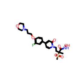 CC(CCn1ccc(-c2ccc(OCCCN3CCOCC3)c(F)c2)cc1=O)(C(=O)NO)S(C)(=O)=O